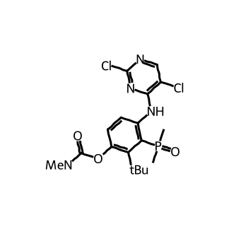 CNC(=O)Oc1ccc(Nc2nc(Cl)ncc2Cl)c(P(C)(C)=O)c1C(C)(C)C